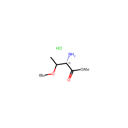 COC(=O)[C@@H](N)C(C)OC(C)(C)C.Cl